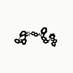 c1cc(-n2c3ccccc3c3ccc4ccccc4c32)c2cc3c4ccccc4n(-c4ccc5cc(-c6nc(-c7cccc8c7sc7ccccc78)c7ccccc7n6)ccc5c4)c3cc2c1